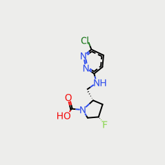 O=C(O)N1C[C@@H](F)C[C@H]1CNc1ccc(Cl)nn1